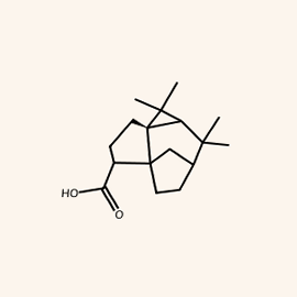 CC1(C)C2CCC3(C2)C(C(=O)O)CC[C@@]32C1C2(C)C